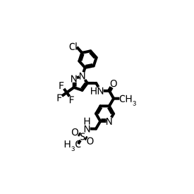 CC(C(=O)NCc1cc(C(F)(F)F)nn1-c1cccc(Cl)c1)c1ccc(CNS(C)(=O)=O)nc1